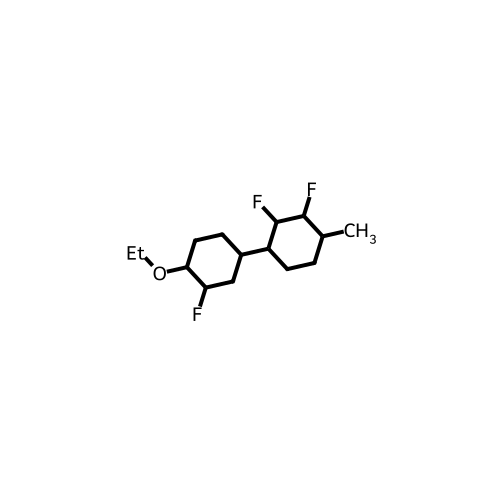 CCOC1CCC(C2CCC(C)C(F)C2F)CC1F